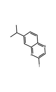 CC(C)c1ccc2ncc(I)nc2c1